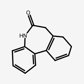 O=C1CC2=C(C=CCC2)c2ccccc2N1